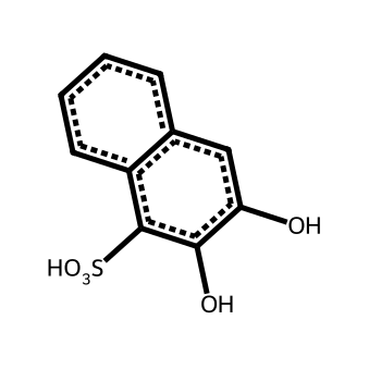 O=S(=O)(O)c1c(O)c(O)cc2ccccc12